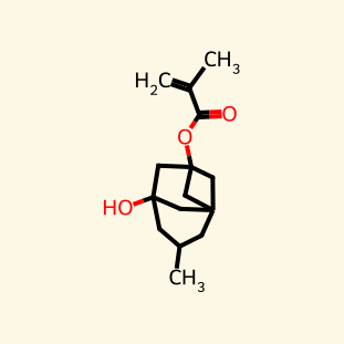 C=C(C)C(=O)OC12CC3(O)CC(C)CC(C3)(C1)C2